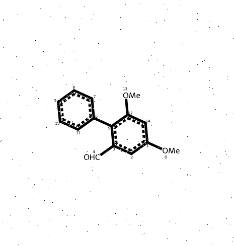 COc1cc(C=O)c(-c2ccccc2)c(OC)c1